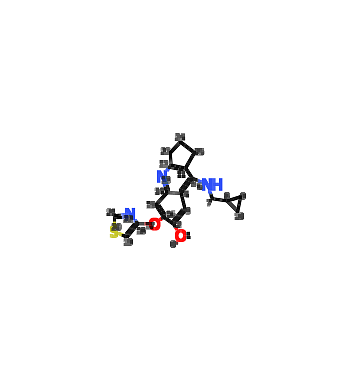 COc1cc2c(NCC3CC3)c3c(nc2cc1Oc1cscn1)CCC3